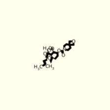 CO[C@@H]1[C@H](OC(=O)N2CCC3(CC2)COC3)CC[C@]2(CO2)[C@H]1[C@@]1(C)O[C@@H]1CC=C(C)C